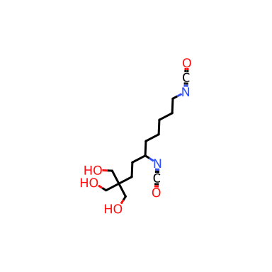 O=C=NCCCCCC(CCC(CO)(CO)CO)N=C=O